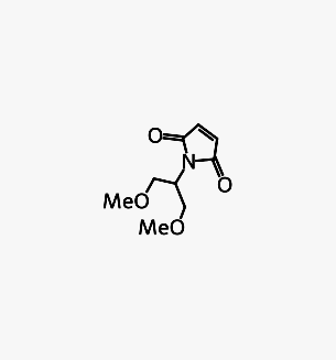 COCC(COC)N1C(=O)C=CC1=O